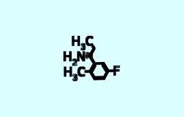 CC[C@@H](N)c1cc(F)ccc1C